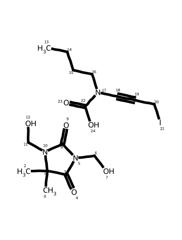 CC1(C)C(=O)N(CO)C(=O)N1CO.CCCCN(C#CCI)C(=O)O